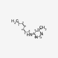 C=C/C=C\C=C/CNc1cc(C)ncn1